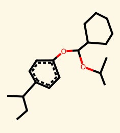 CCC(C)c1ccc(OC(OC(C)C)C2CCCCC2)cc1